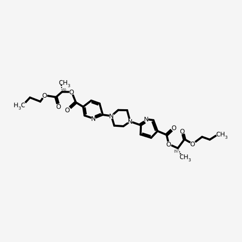 CCCOC(=O)[C@H](C)OC(=O)c1ccc(N2CCN(c3ccc(C(=O)O[C@@H](C)C(=O)OCCC)cn3)CC2)nc1